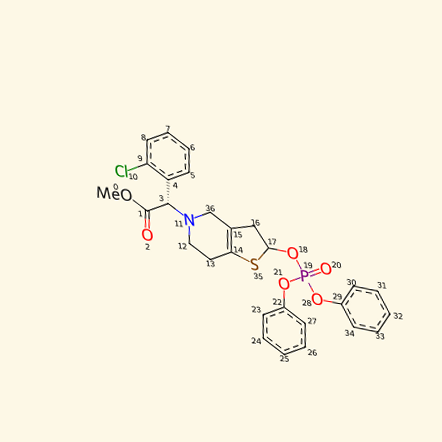 COC(=O)[C@H](c1ccccc1Cl)N1CCC2=C(CC(OP(=O)(Oc3ccccc3)Oc3ccccc3)S2)C1